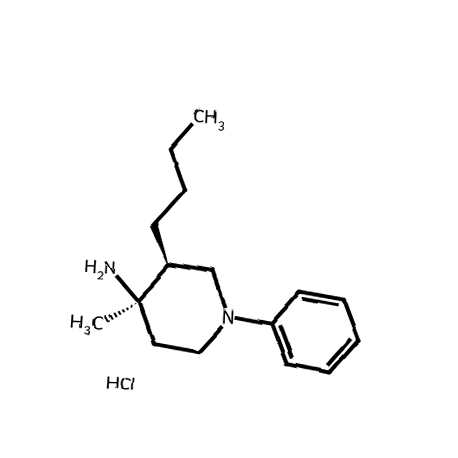 CCCC[C@H]1CN(c2ccccc2)CC[C@@]1(C)N.Cl